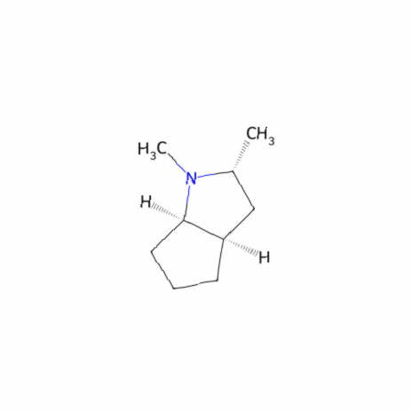 C[C@@H]1C[C@H]2CCC[C@H]2N1C